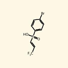 O=P(O)(C=CC(F)(F)F)c1ccc(Br)cc1